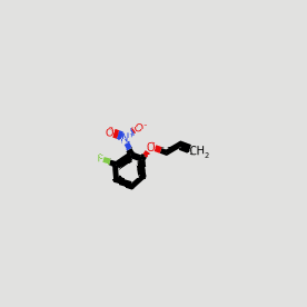 C=CCOc1cccc(F)c1[N+](=O)[O-]